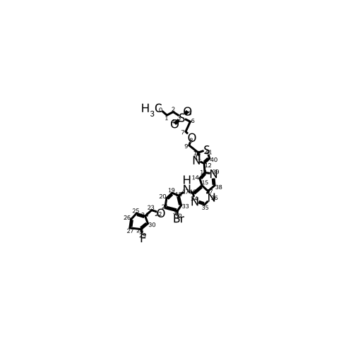 CCCS(=O)(=O)CCOCc1nc(-c2cc3c(Nc4ccc(OCc5cccc(F)c5)c(Br)c4)ncnc3cn2)cs1